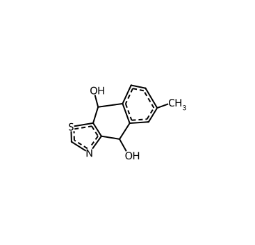 Cc1ccc2c(c1)C(O)c1ncsc1C2O